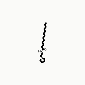 CCCCCCCCCCCCC(=O)NCCN1CCCC1